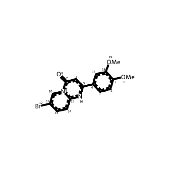 COc1ccc(-c2cc(=O)n3cc(Br)ccc3n2)cc1OC